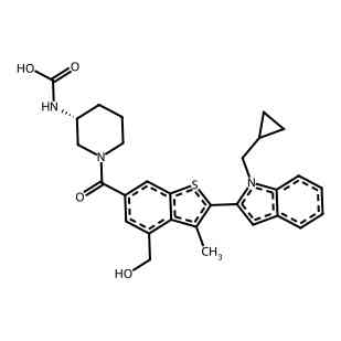 Cc1c(-c2cc3ccccc3n2CC2CC2)sc2cc(C(=O)N3CCC[C@@H](NC(=O)O)C3)cc(CO)c12